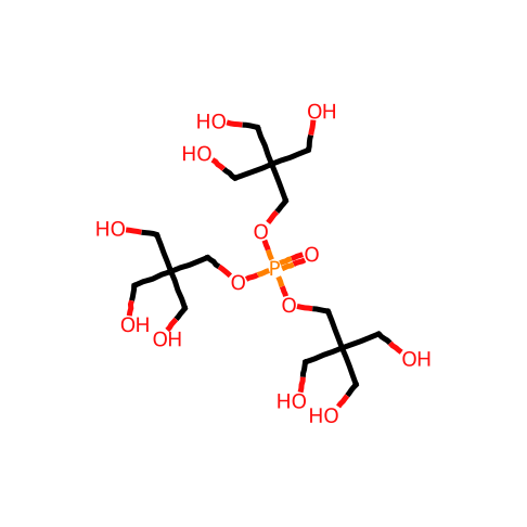 O=P(OCC(CO)(CO)CO)(OCC(CO)(CO)CO)OCC(CO)(CO)CO